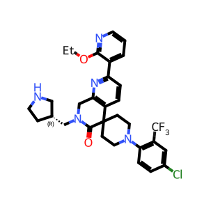 CCOc1ncccc1-c1ccc2c(n1)CN(C[C@@H]1CCNC1)C(=O)C21CCN(c2ccc(Cl)cc2C(F)(F)F)CC1